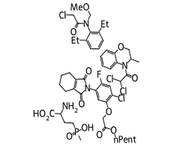 CC1COc2ccccc2N1C(=O)C(Cl)Cl.CCCCCOC(=O)COc1cc(N2C(=O)C3=C(CCCC3)C2=O)c(F)cc1Cl.CCc1cccc(CC)c1N(COC)C(=O)CCl.CP(=O)(O)CCC(N)C(=O)O